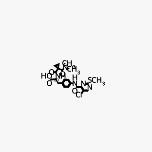 CSc1ncc(Cl)c(C(=O)Nc2ccc(C[C@H](NC(=O)C3(C(=O)N(C)C)CC3)C(=O)O)cc2)n1